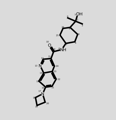 CC(C)(O)C1CCC(NC(=O)c2cnc3cc(N4CCC4)ccc3c2)CC1